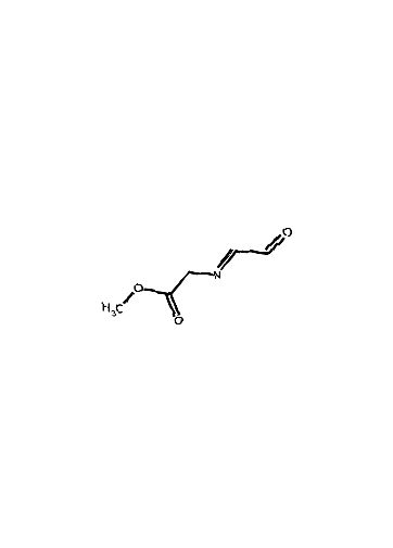 COC(=O)CN=CC=O